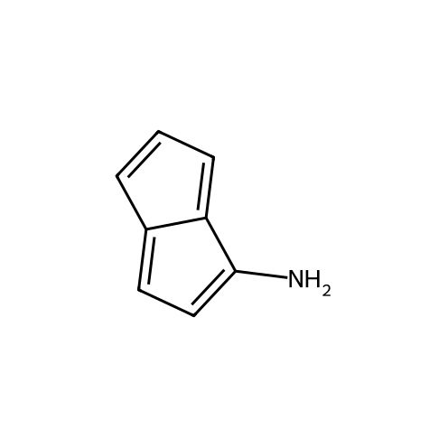 NC1=CC=C2C=CC=C12